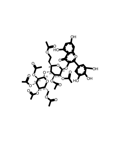 CC(=O)OCC[C@H]1O[C@@H](Oc2c(-c3cc(O)c(O)c(O)c3)oc3cc(O)cc(O)c3c2=O)[C@H](OC(C)=O)[C@@H](OC(C)=O)[C@@H]1O[C@@H]1O[C@H](COC(C)=O)[C@H](OC(C)=O)[C@H](OC(C)=O)[C@H]1OC(C)=O